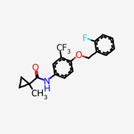 CC1(C(=O)Nc2ccc(OCc3ccccc3F)c(C(F)(F)F)c2)CC1